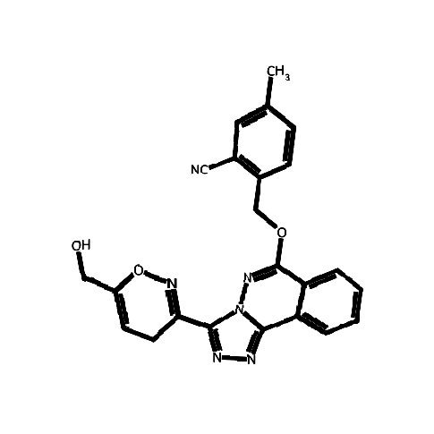 Cc1ccc(COc2nn3c(C4=NOC(CO)=CC4)nnc3c3ccccc23)c(C#N)c1